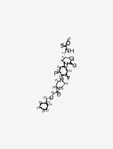 COC(=S)NC[C@H]1CN(c2cc(F)c(N3CCN(C(=O)COCc4ccccc4)CC3)c(F)c2)C(=O)O1